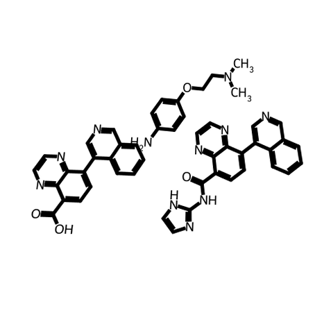 CN(C)CCOc1ccc(N)cc1.O=C(Nc1ncc[nH]1)c1ccc(-c2cncc3ccccc23)c2nccnc12.O=C(O)c1ccc(-c2cncc3ccccc23)c2nccnc12